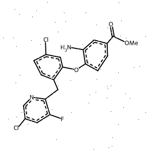 COC(=O)c1ccc(Oc2cc(Cl)ccc2Cc2ncc(Cl)cc2F)c(N)c1